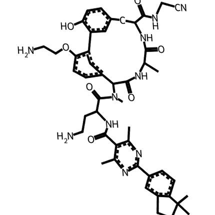 Cc1nc(-c2ccc3c(c2)CCC3(C)C)nc(C)c1C(=O)NC(CCN)C(=O)N(C)C1C(=O)NC(C)C(=O)NC(C(=O)NCC#N)Cc2ccc(O)c(c2)-c2cc1ccc2OCCN